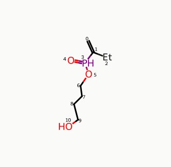 C=C(CC)[PH](=O)OCCCCO